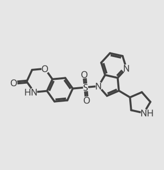 O=C1COc2cc(S(=O)(=O)n3cc(C4CCNC4)c4ncccc43)ccc2N1